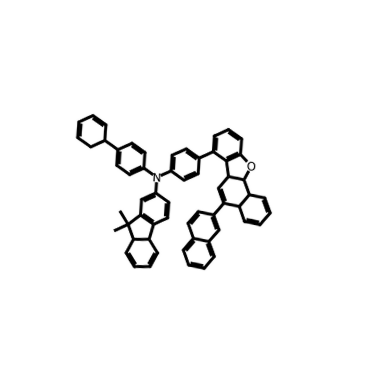 CC1(C)c2cc(N(c3ccc(-c4cccc5c4C4C=C(c6ccc7ccccc7c6)C6C=CC=CC6C4O5)cc3)c3ccc(C4C=CC=CC4)cc3)ccc2C2C=CC=CC21